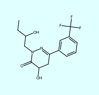 CCC(O)CN1N=C(c2cccc(C(F)(F)F)c2)CC(O)C1=O